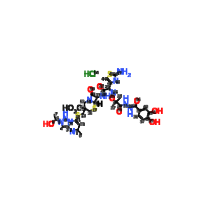 CC1=NC2=CN(C(C)O)NN2C(SCC2(C(=O)O)CS[C@@H]3C(NC(=O)C(=NOC(C)(C)C(=O)NNC(=O)c4ccc(O)c(O)c4)c4csc(N)n4)C(=O)N3C2)=C1.Cl